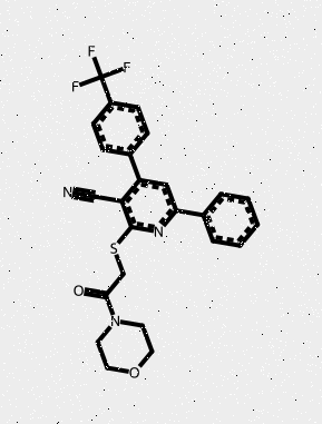 N#Cc1c(-c2ccc(C(F)(F)F)cc2)cc(-c2ccccc2)nc1SCC(=O)N1CCOCC1